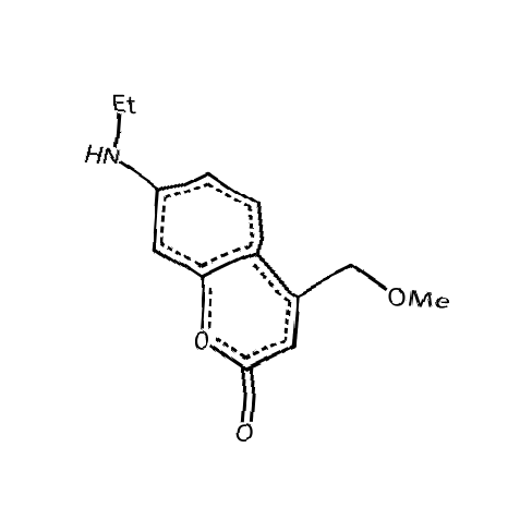 CCNc1ccc2c(COC)cc(=O)oc2c1